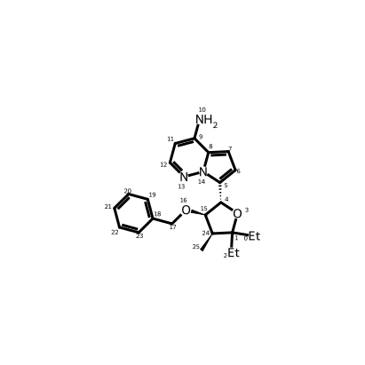 CCC1(CC)O[C@@H](c2ccc3c(N)ccnn23)[C@H](OCc2ccccc2)[C@@H]1C